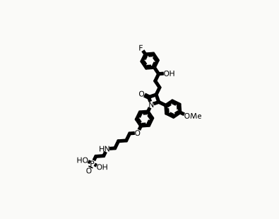 COc1ccc(C2C(CCC(O)c3ccc(F)cc3)C(=O)N2c2ccc(OCCCCNCCP(=O)(O)O)cc2)cc1